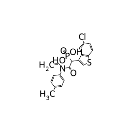 C=CN(C(=O)C(c1csc2ccc(Cl)cc12)P(=O)(O)O)c1ccc(C)cc1